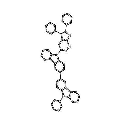 c1ccc(-c2nc3ncc(-n4c5ccccc5c5cc(-c6ccc7c(c6)c6ccccc6n7-c6ccccc6)ccc54)cn3c2-c2ccccc2)cc1